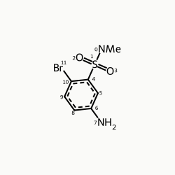 CNS(=O)(=O)c1cc(N)ccc1Br